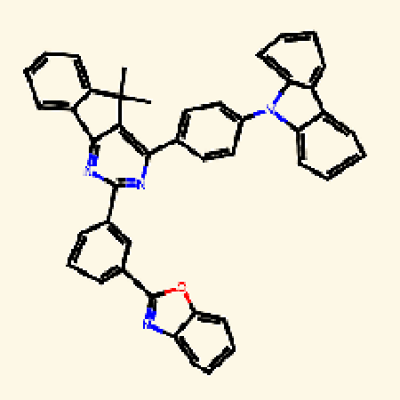 CC1(C)c2ccccc2-c2nc(-c3cccc(-c4nc5ccccc5o4)c3)nc(-c3ccc(-n4c5ccccc5c5ccccc54)cc3)c21